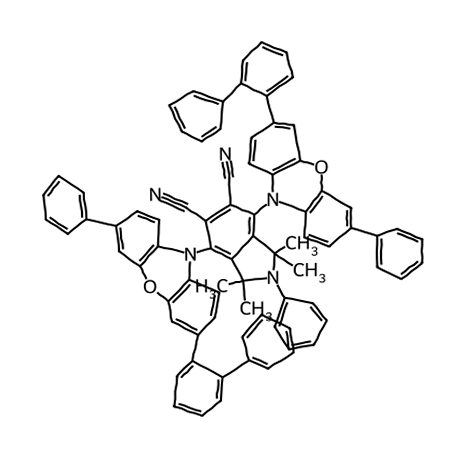 CC1(C)c2c(N3c4ccc(-c5ccccc5)cc4Oc4cc(-c5ccccc5-c5ccccc5)ccc43)c(C#N)c(C#N)c(N3c4ccc(-c5ccccc5)cc4Oc4cc(-c5ccccc5-c5ccccc5)ccc43)c2C(C)(C)N1c1ccccc1